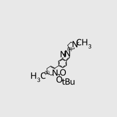 C[C@H]1CC=C(c2ccc3cn([C@@H]4CCN(C)C4)nc3c2)N(C(=O)OC(C)(C)C)C1